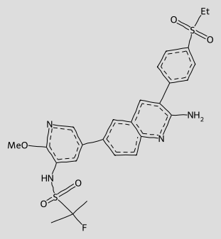 CCS(=O)(=O)c1ccc(-c2cc3cc(-c4cnc(OC)c(NS(=O)(=O)C(C)(C)F)c4)ccc3nc2N)cc1